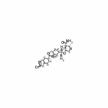 BC(B)(Oc1cncc(C(N)=O)c1)c1cccc(NC(=O)c2ccc(CN(CC)CC)cc2)c1